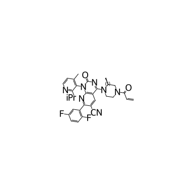 C=CC(=O)N1CCN(c2nc(=O)n(-c3c(C)ccnc3C(C)C)c3nc(-c4cc(F)ccc4F)c(C#N)cc23)[C@@H](C)C1